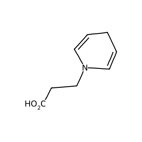 O=C(O)CCN1C=CCC=C1